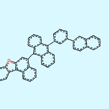 c1cc(-c2ccc3ccccc3c2)cc(-c2c3ccccc3c(-c3cc4oc5ccccc5c4c4ccccc34)c3ccccc23)c1